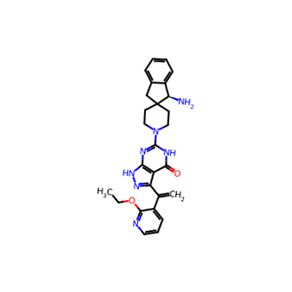 C=C(c1cccnc1OCC)c1n[nH]c2nc(N3CCC4(CC3)Cc3ccccc3[C@H]4N)[nH]c(=O)c12